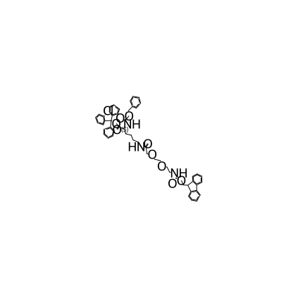 O=C(COCCOCCNC(=O)OCC1c2ccccc2-c2ccccc21)NCCCC[C@H](NC(=O)OCc1ccccc1)C(=O)OC(c1ccccc1)(c1ccccc1)c1ccccc1Cl